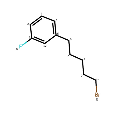 Fc1cccc(CCCCCBr)c1